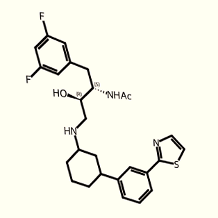 CC(=O)N[C@@H](Cc1cc(F)cc(F)c1)[C@H](O)CNC1CCCC(c2cccc(-c3nccs3)c2)C1